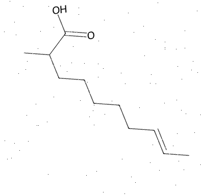 CC=CCCCCCC(C)C(=O)O